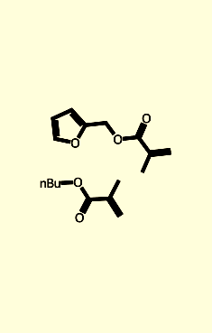 C=C(C)C(=O)OCCCC.C=C(C)C(=O)OCc1ccco1